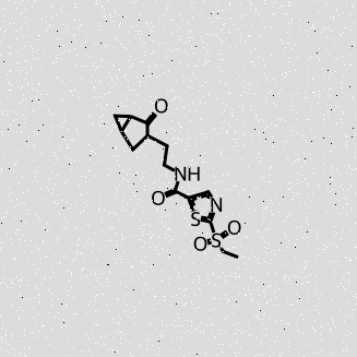 CCS(=O)(=O)c1ncc(C(=O)NCCC2CC3CC3C2=O)s1